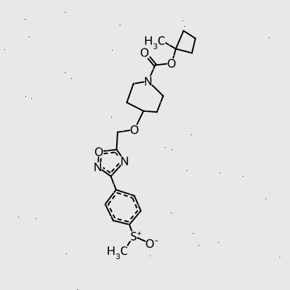 C[S+]([O-])c1ccc(-c2noc(COC3CCN(C(=O)OC4(C)CCC4)CC3)n2)cc1